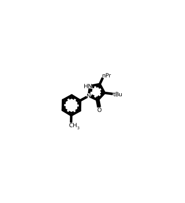 CCCc1[nH]n(-c2cccc(C)c2)c(=O)c1C(C)(C)C